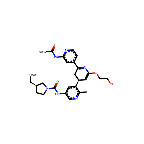 COC[C@@H]1CCN(C(=O)Nc2cnc(C)c([C@@H]3C=C(OCCO)N=C(c4ccnc(NC(=O)OC)c4)C3)c2)C1